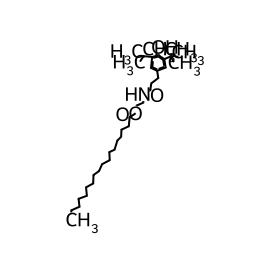 CCCCCCCCCCCCCCCCCC(=O)OCCNC(=O)CCc1cc(C(C)(C)C)c(O)c(C(C)(C)C)c1